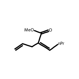 C=CCC(=CCCC)C(=O)OC